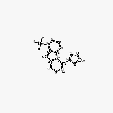 [CH3][Ge]([CH3])([CH3])[c]1cccc2c1oc1ccnc(-c3ccoc3)c12